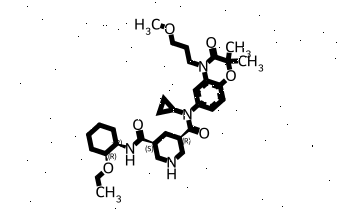 CCO[C@@H]1CCCC[C@H]1NC(=O)[C@@H]1CNC[C@H](C(=O)N(c2ccc3c(c2)N(CCCOC)C(=O)C(C)(C)O3)C2CC2)C1